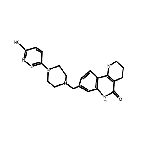 N#Cc1ccc(N2CCN(Cc3ccc4c5c(c(=O)[nH]c4c3)CCCN5)CC2)nn1